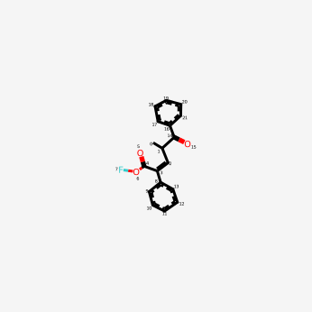 CC(C=C(C(=O)OF)c1ccccc1)C(=O)c1ccccc1